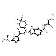 C[C@H](Cn1ncc(C(=O)N[C@H](c2nc3ccc([C@@H](C)NC(=O)CCC(F)(F)F)cc3[nH]2)C2CCC(F)(F)CC2)n1)C(F)(F)F